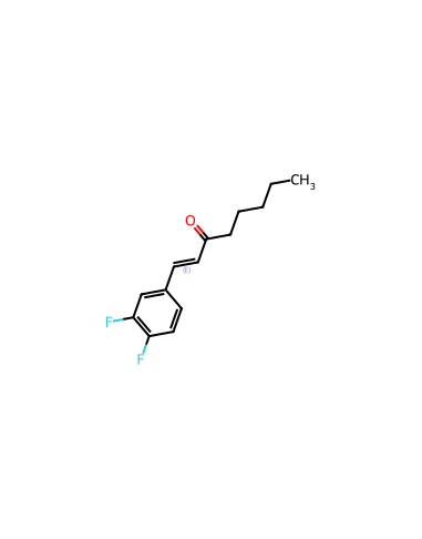 CCCCCC(=O)/C=C/c1ccc(F)c(F)c1